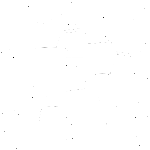 Cc1cc2[nH]c(=O)c(=O)n(CCCO[Si](C)(C)C(C)(C)C)c2cc1C